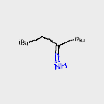 CCC(C)CC(=N)C(C)CC